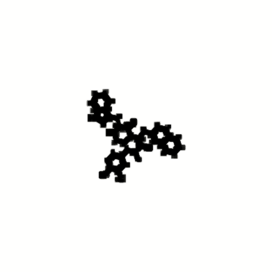 CN(Cc1ccc(Cl)c(Cl)c1)C(=O)[C@H](Cc1ccc2ccccc2c1)N1CCN[C@H](Cc2c[nH]c3ccccc23)C1=O